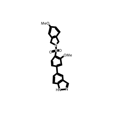 COc1ccc2c(c1)CN(S(=O)(=O)c1ccc(-c3ccc4[nH]ncc4c3)cc1OC)C2